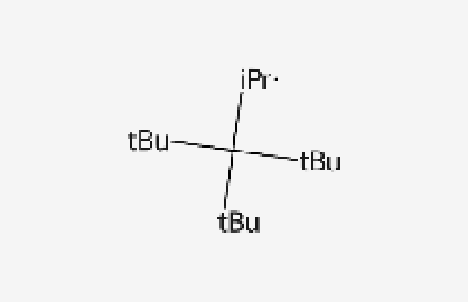 C[C](C)C(C(C)(C)C)(C(C)(C)C)C(C)(C)C